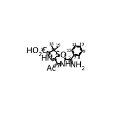 CC(=O)[C@@H](NC(=O)[C@H](N)c1ccccc1)[C@@H]1N[C@@H](C(=O)O)C(C)(C)S1